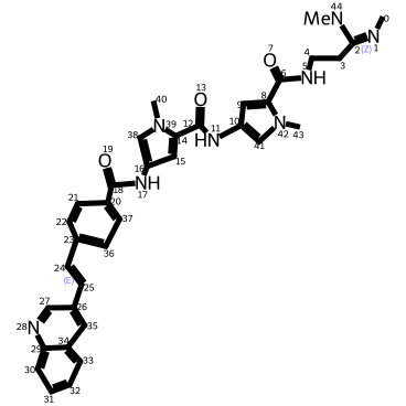 C/N=C(/CCNC(=O)c1cc(NC(=O)c2cc(NC(=O)c3ccc(/C=C/c4cnc5ccccc5c4)cc3)cn2C)cn1C)NC